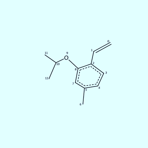 C=Cc1ccc(C)cc1OC(C)C